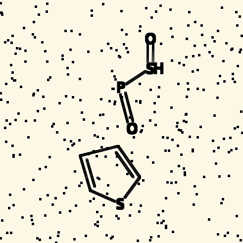 O=P[SH]=O.c1ccsc1